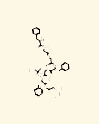 NC(=O)C[C@H](NC(=O)[C@H](Cc1ccccc1)NC(=O)CNC(=O)CNC(=O)[C@@H](N)Cc1ccccc1)C(=O)N[C@@H](Cc1ccccc1)C(=O)N[C@@H](CO)C(=O)O